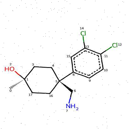 C[C@]1(O)CC[C@](CN)(c2ccc(Cl)c(Cl)c2)CC1